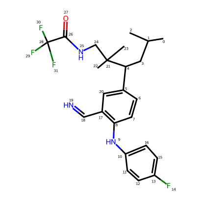 CC(C)CC(c1ccc(Nc2ccc(F)cc2)c(C=N)c1)C(C)(C)CNC(=O)C(F)(F)F